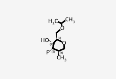 CC(C)OC[C@H]1OC[C@@H](C)[C@H](F)[C@@H]1O